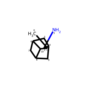 CC1C(N)C2CC3CC(C2)C31